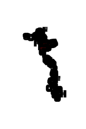 C#Cc1c(F)ccc2cc(OCOC)cc(-c3ncc4c(N5CC6CCC(C5)N6C(=O)OC(C)(C)C)nc(OCCN5CCC6(CC5)CCN(CC5CCN(c7ccc8c(c7F)CN(C7CCC(=O)NC7=O)C8=O)CC5)CC6)nc4c3F)c12